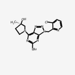 CC(C)(C)c1nc(N2CC[C@@](C)(O)C2)c2nnn(Cc3ncccc3Cl)c2n1